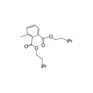 Cc1cccc(C(=O)OCCC(C)C)c1C(=O)OCCC(C)C